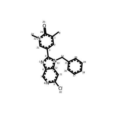 Cc1cc(-c2nc3cnc(Cl)cc3n2Cc2ccccc2)cn(C)c1=O